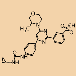 CC1COCCN1c1cc(-c2ccc(NC(=O)NC3CC3)cc2)nc(-c2cccc(S(C)(=O)=O)c2)n1